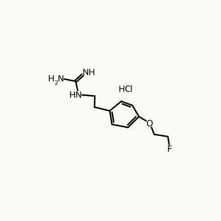 Cl.N=C(N)NCCc1ccc(OCCF)cc1